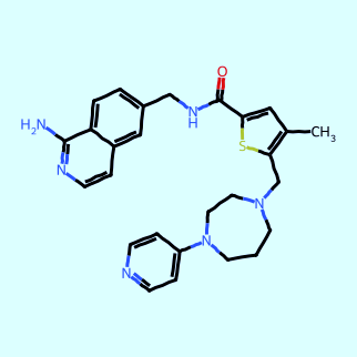 Cc1cc(C(=O)NCc2ccc3c(N)nccc3c2)sc1CN1CCCN(c2ccncc2)CC1